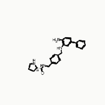 Nc1ccc(-c2ccccc2)cc1NCc1ccc(CNC(=O)[C@@H]2CCCN2)cc1